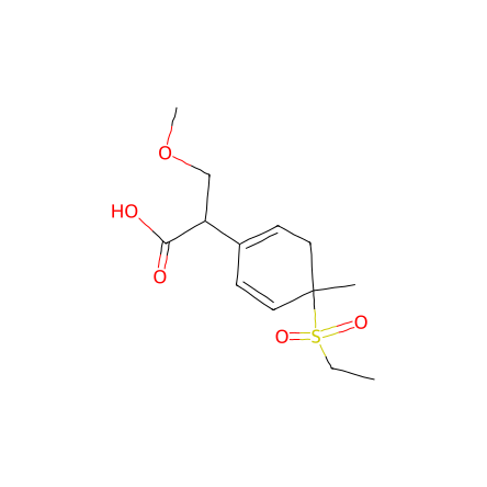 CCS(=O)(=O)C1(C)C=CC(C(COC)C(=O)O)=CC1